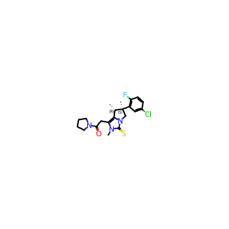 C[C@H]1c2c(CC(=O)N3CCCC3)n(C)c(=S)n2C[C@]1(C)c1cc(Cl)ccc1F